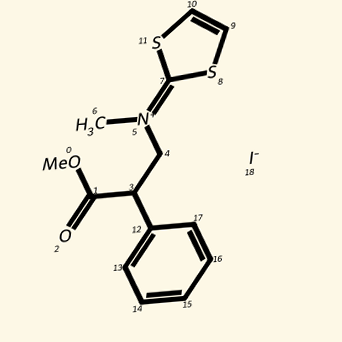 COC(=O)C(C[N+](C)=c1sccs1)c1ccccc1.[I-]